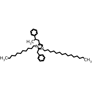 CCCCCCCCCCCCCCCn1cc(CC(C)c2ccccc2)[n+](CCCCCCCCCCC)c1Cc1ccccc1